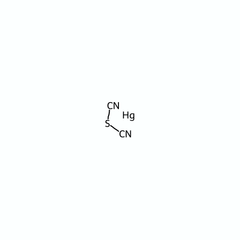 N#CSC#N.[Hg]